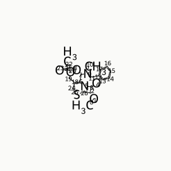 CO[C@H]1C(=O)N2C(C(=O)N(C)Cc3ccccc3)=C(COC(C)=O)CSC12